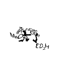 CCCCCCCCCCCCCC(C)C(=O)O.COCC(CC(C)C)(OC)N(C)C